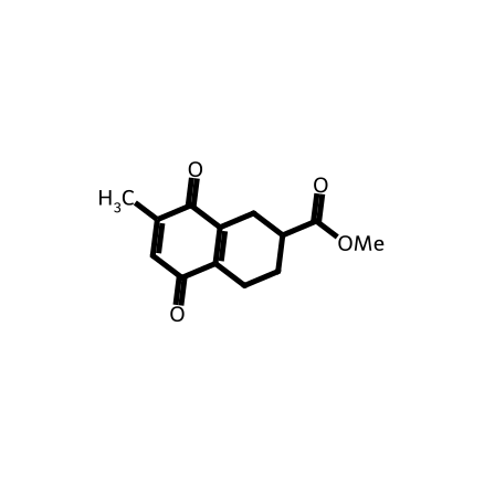 COC(=O)C1CCC2=C(C1)C(=O)C(C)=CC2=O